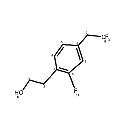 OCCc1ccc(CC(F)(F)F)cc1F